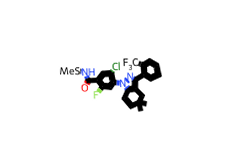 CSNC(=O)c1cc(Cl)c(-n2nc(-c3ccccc3C(F)(F)F)c3c2C=CC(C)(C)C3)cc1F